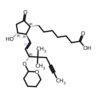 CC#CCC(C)(C)[C@@H](/C=C/[C@H]1[C@H](O)CC(=O)[C@@H]1CCCCCCC(=O)O)OC1CCCCO1